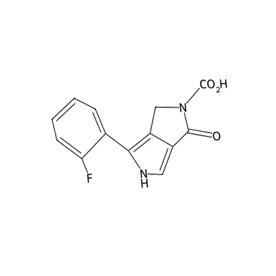 O=C(O)N1Cc2c(c[nH]c2-c2ccccc2F)C1=O